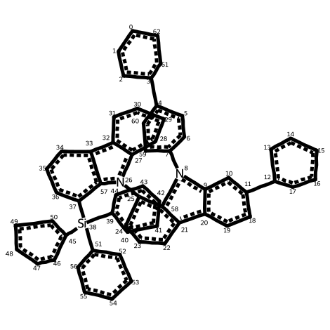 c1ccc(-c2ccc(-n3c4cc(-c5ccccc5)ccc4c4cccc(-n5c6ccccc6c6cccc([Si](c7ccccc7)(c7ccccc7)c7ccccc7)c65)c43)cc2)cc1